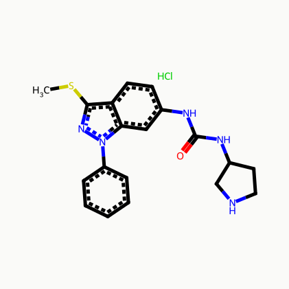 CSc1nn(-c2ccccc2)c2cc(NC(=O)NC3CCNC3)ccc12.Cl